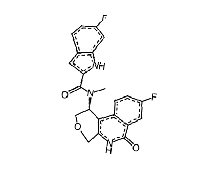 CN(C(=O)c1cc2ccc(F)cc2[nH]1)[C@@H]1COCc2[nH]c(=O)c3cc(F)ccc3c21